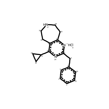 Cl.c1ccc(Cc2nc3c(c(C4CC4)n2)CCNCC3)cc1